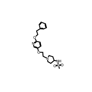 CS(=O)(=O)NC1CCN(CCOc2ccc(OCCc3ccccc3)nc2)CC1